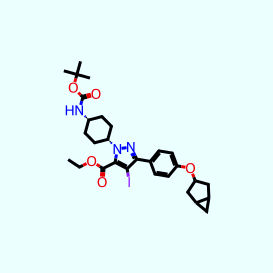 CCOC(=O)c1c(I)c(-c2ccc(OC3CC4CC4C3)cc2)nn1[C@H]1CC[C@@H](NC(=O)OC(C)(C)C)CC1